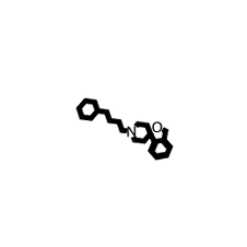 c1ccc2c(c1)COC21CCN(CCCCC2CCCCC2)CC1